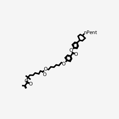 C=C(C)C(=O)OC(C)(C)CCCCCC(=O)OCCCCCCOc1ccc(C(=O)Oc2ccc(C3CCC(CCCCC)CC3)cc2)cc1